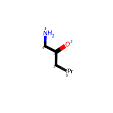 CC(C)CC(=O)[CH]N